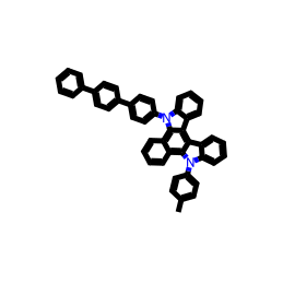 Cc1ccc(-n2c3ccccc3c3c4c5ccccc5n(-c5ccc(-c6ccc(-c7ccccc7)cc6)cc5)c4c4ccccc4c32)cc1